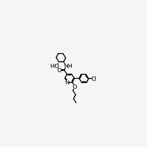 CCCCOc1ncc(C(=O)N[C@@H]2CCCC[C@H]2O)cc1-c1ccc(Cl)cc1